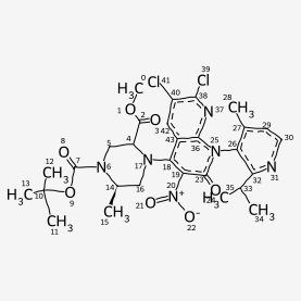 COC(=O)C1CN(C(=O)OC(C)(C)C)[C@H](C)CN1c1c([N+](=O)[O-])c(=O)n(-c2c(C)ccnc2C(C)C)c2nc(Cl)c(Cl)cc12